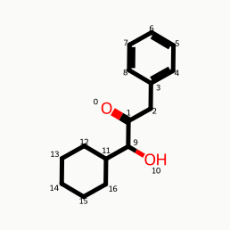 O=C(Cc1ccccc1)C(O)C1CCCCC1